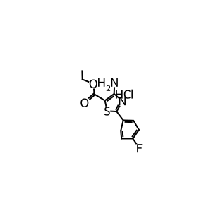 CCOC(=O)c1sc(-c2ccc(F)cc2)nc1N.Cl